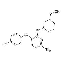 Nc1ncc(Oc2ccc(Cl)cc2)c(NC2CCCC(CO)C2)n1